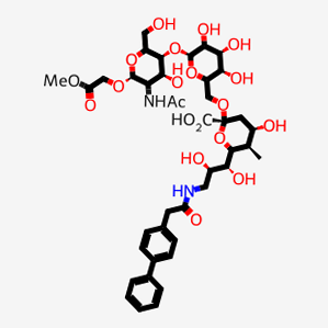 COC(=O)CO[C@@H]1OC(CO)[C@@H](O[C@@H]2OC(CO[C@]3(C(=O)O)C[C@@H](O)[C@@H](C)C([C@H](O)[C@H](O)CNC(=O)Cc4ccc(-c5ccccc5)cc4)O3)[C@H](O)[C@H](O)C2O)[C@@H](O)C1NC(C)=O